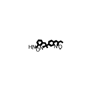 CCc1cc2ccc(C(C)(C#N)Cc3cccc(C(=O)NC)c3)cc2nc1OC